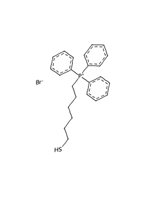 SCCCCCC[P+](c1ccccc1)(c1ccccc1)c1ccccc1.[Br-]